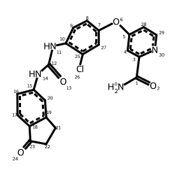 NC(=O)c1cc(Oc2ccc(NC(=O)Nc3ccc4c(c3)CCC4=O)c(Cl)c2)ccn1